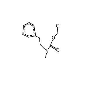 CN(CCc1ccccc1)C(=O)OCCl